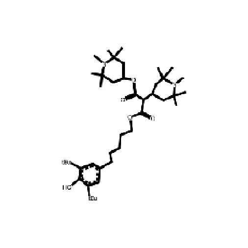 CN1C(C)(C)CC(OC(=O)C(C(=O)OCCCCCc2cc(C(C)(C)C)c(O)c(C(C)(C)C)c2)C2CC(C)(C)N(C)C(C)(C)C2)CC1(C)C